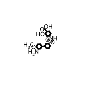 COc1ccc(-c2cccc(S(=O)(=O)Nc3ccc(C(=O)O)c(O)c3)c2)cc1N